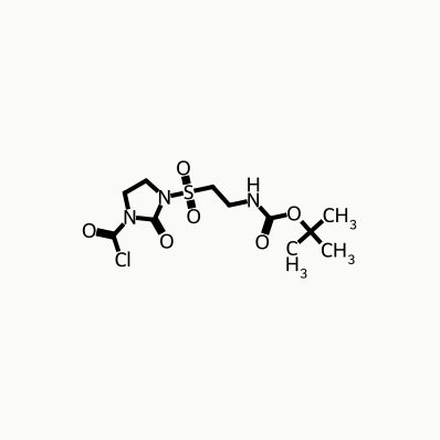 CC(C)(C)OC(=O)NCCS(=O)(=O)N1CCN(C(=O)Cl)C1=O